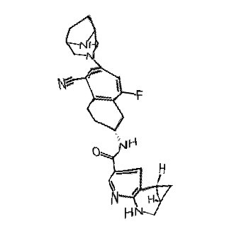 N#Cc1c(N2CC3CCC(C2)N3)cc(F)c2c1CC[C@@H](NC(=O)c1cnc3c(c1)[C@@H]1C[C@@H]1CN3)C2